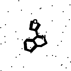 c1ccc2c(c1)CCN=C2c1ccoc1